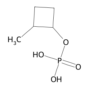 CC1CCC1OP(=O)(O)O